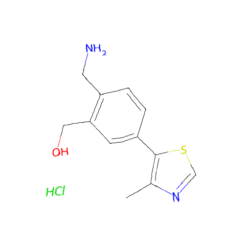 Cc1ncsc1-c1ccc(CN)c(CO)c1.Cl